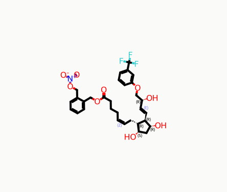 O=C(CCC/C=C\C[C@@H]1[C@@H](/C=C/[C@@H](O)COc2cccc(C(F)(F)F)c2)[C@H](O)C[C@@H]1O)OCc1ccccc1CO[N+](=O)[O-]